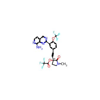 CN1CC[C@](C#Cc2ccc(OC(F)(F)F)c(-c3ncc4ccnc(N)c4n3)c2)(OC(=O)C(F)(F)F)C1=O